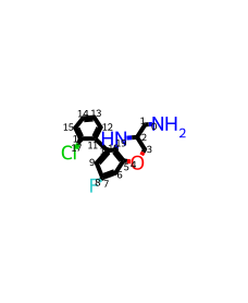 NCC1COc2cc(F)cc(-c3ccccc3Cl)c2N1